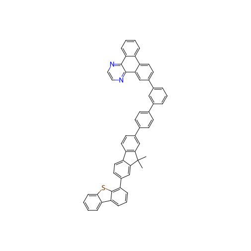 CC1(C)c2cc(-c3ccc(-c4cccc(-c5ccc6c7ccccc7c7nccnc7c6c5)c4)cc3)ccc2-c2ccc(-c3cccc4c3sc3ccccc34)cc21